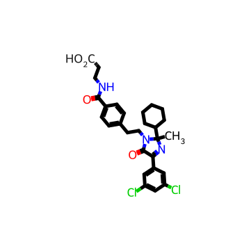 CC1(C2CCCCC2)N=C(c2cc(Cl)cc(Cl)c2)C(=O)N1CCc1ccc(C(=O)NCCC(=O)O)cc1